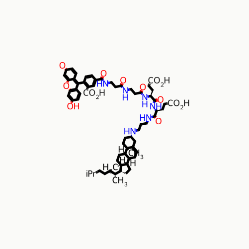 CC(C)CCC[C@@H](C)[C@H]1CC[C@H]2[C@@H]3CC=C4C[C@@H](NCCCNC(=O)[C@H](CCC(=O)O)NC(=O)[C@H](CCC(=O)O)NC(=O)CCNC(=O)CCNC(=O)c5ccc(-c6c7ccc(=O)cc-7oc7cc(O)ccc67)c(C(=O)O)c5)CC[C@]4(C)[C@H]3CC[C@]12C